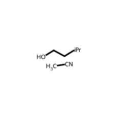 CC#N.CC(C)CCO